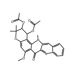 COc1cc2c(c3c1c(=O)c1nc4ccccc4cc1n3C)C(OC(C)=O)C(OC(C)=O)C(C)(C)O2